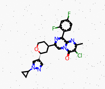 Cc1nc2c(-c3ccc(F)cc3F)nc(C3CCO[C@@H](c4cnn(C5CC5)c4)C3)cn2c(=O)c1Cl